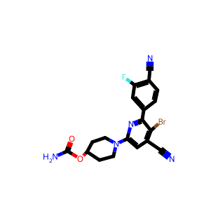 N#Cc1ccc(-c2nc(N3CCC(OC(N)=O)CC3)cc(C#N)c2Br)cc1F